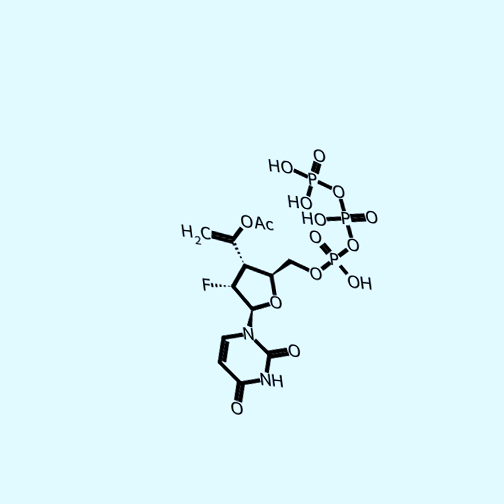 C=C(OC(C)=O)[C@H]1[C@@H](F)[C@H](n2ccc(=O)[nH]c2=O)O[C@@H]1COP(=O)(O)OP(=O)(O)OP(=O)(O)O